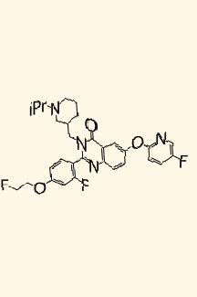 CC(C)N1CCCC(Cn2c(-c3ccc(OCCF)cc3F)nc3ccc(Oc4ccc(F)cn4)cc3c2=O)C1